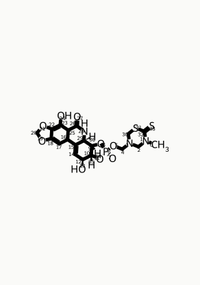 CN1CN(COP2(=O)O[C@@H]3[C@H](O2)[C@@H](O)C=C2C4C=C5OCOC5=C(O)C4C(=O)N[C@H]23)CSC1=S